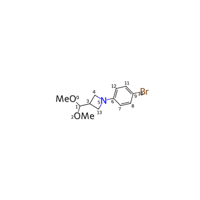 COC(OC)C1CN(c2ccc(Br)cc2)C1